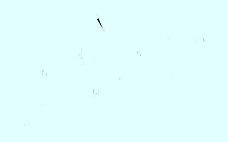 C[C@@H]1CC(Nc2ncc(Cl)cc2N)[C@@H](C)CN1C(=O)OC(C)(C)C